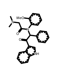 COc1ccccc1N(C(=O)CN(C)C)C(C(=O)c1c[nH]c2ccccc12)c1ccccc1